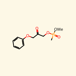 COP(C)(=O)OCC(=O)COc1ccccc1